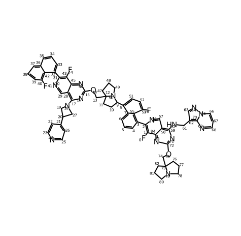 Fc1c(-c2cccc3c(C4CCC5(COc6nc(N7CC(c8ccncc8)C7)c7cnc(-c8cccc9cccc(F)c89)c(F)c7n6)CCCN45)ccc(F)c23)ncc2c(NCc3cnn4cccnc34)nc(OCC34CCCN3CCC4)nc12